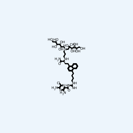 C[C@@](O)(CN(CCCN[C@@H](CCc1ccc(CCCCNC(=N)NC(=O)c2nc(Cl)c(N)nc2N)c2ccccc12)C(N)=O)C[C@H](O)[C@@H](O)[C@H](O)[C@H](O)CO)[C@@H](O)[C@H](O)[C@H](O)CO